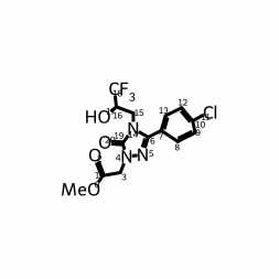 COC(=O)Cn1nc(-c2ccc(Cl)cc2)n(CC(O)C(F)(F)F)c1=O